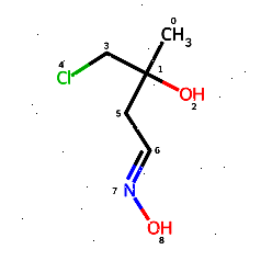 CC(O)(CCl)CC=NO